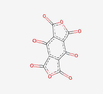 O=c1oc(=O)c2c(=O)c3c(=O)oc(=O)c3c(=O)c12